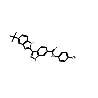 CC(C)(C)c1ccc2[nH]c(-c3n[nH]c4cc(C(=O)Nc5ccc(O)cc5)ccc34)nc2c1